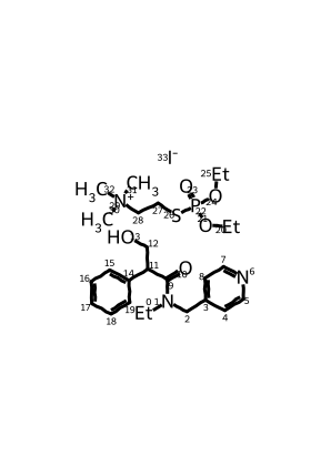 CCN(Cc1ccncc1)C(=O)C(CO)c1ccccc1.CCOP(=O)(OCC)SCC[N+](C)(C)C.[I-]